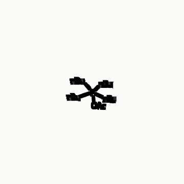 CCCCP(CCCC)(CCCC)(CCCC)OC(C)=O